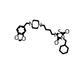 O=c1sn(CCCCN2CCN(Cc3ccc4c(c3)OCO4)CC2)c(=O)n1CC1CCCCC1